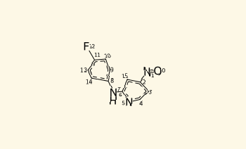 O=Nc1ccnc(Nc2ccc(F)cc2)c1